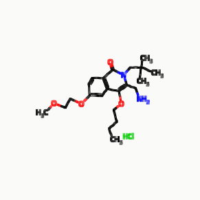 CCCCOc1c(CN)n(CC(C)(C)C)c(=O)c2ccc(OCCOC)cc12.Cl